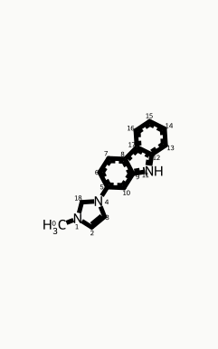 CN1C=CN(c2ccc3c(c2)[nH]c2ccccc23)C1